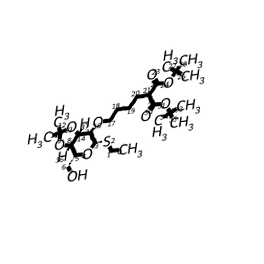 CCS[C@@H]1O[C@H](CO)[C@@H]2OC(C)(C)O[C@@H]2[C@H]1OCCCCC(C(=O)OC(C)(C)C)C(=O)OC(C)(C)C